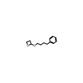 c1ccc(CCCCOC2CCO2)cc1